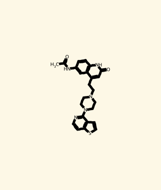 CC(=O)Nc1ccc2[nH]c(=O)cc(CCN3CCN(c4nccc5sccc45)CC3)c2c1